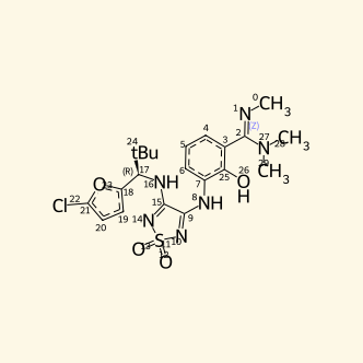 C/N=C(/c1cccc(NC2=NS(=O)(=O)N=C2N[C@@H](c2ccc(Cl)o2)C(C)(C)C)c1O)N(C)C